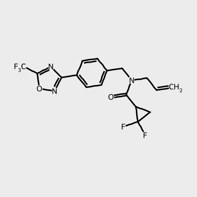 C=CCN(Cc1ccc(-c2noc(C(F)(F)F)n2)cc1)C(=O)C1CC1(F)F